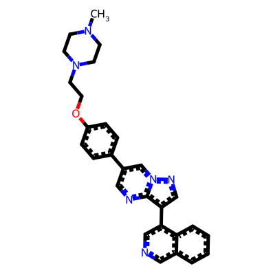 CN1CCN(CCOc2ccc(-c3cnc4c(-c5cncc6ccccc56)cnn4c3)cc2)CC1